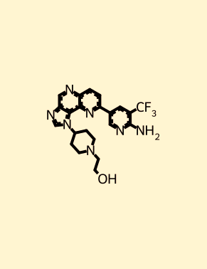 Nc1ncc(-c2ccc3ncc4ncn(C5CCN(CCO)CC5)c4c3n2)cc1C(F)(F)F